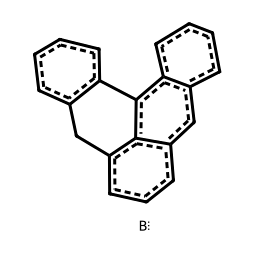 [B].c1ccc2c(c1)Cc1cccc3cc4ccccc4c-2c13